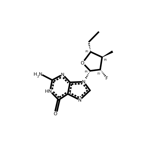 CC[C@H]1O[C@@H](n2cnc3c(=O)[nH]c(N)nc32)[C@@H](F)[C@@H]1C